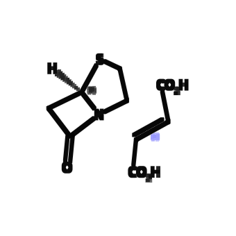 O=C(O)/C=C/C(=O)O.O=C1C[C@H]2SCCN12